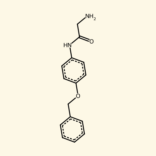 NCC(=O)Nc1ccc(OCc2ccccc2)cc1